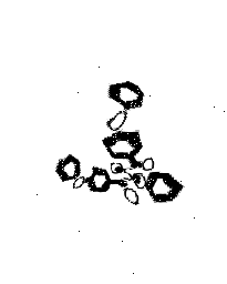 O=C(c1ccc(Oc2ccccc2)cc1)S(=O)(=O)C(=O)c1ccc(Oc2ccccc2)cc1.c1ccccc1